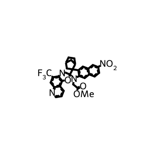 COC(=O)CN1c2cc3ccc([N+](=O)[O-])cc3cc2C2(CC3CCC2C3)C12C=Nc1c(C(F)(F)F)cc3ncccc3c1O2